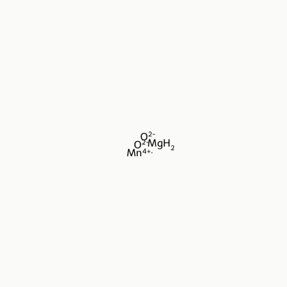 [MgH2].[Mn+4].[O-2].[O-2]